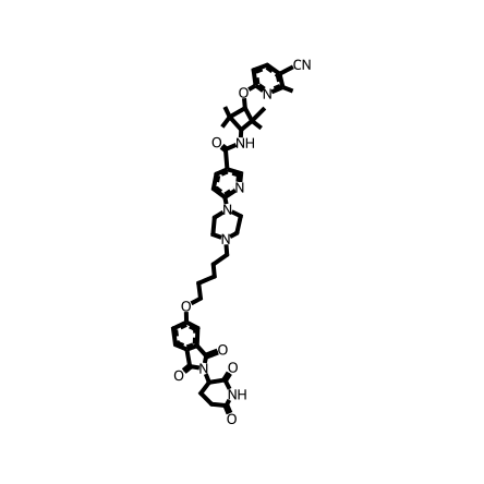 Cc1nc(OC2C(C)(C)C(NC(=O)c3ccc(N4CCN(CCCCCOc5ccc6c(c5)C(=O)N(C5CCC(=O)NC5=O)C6=O)CC4)nc3)C2(C)C)ccc1C#N